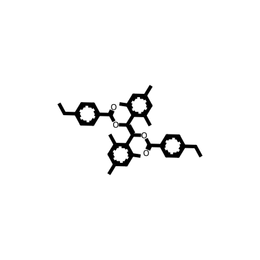 CCc1ccc(C(=O)O/C(=C(/OC(=O)c2ccc(CC)cc2)c2c(C)cc(C)cc2C)c2c(C)cc(C)cc2C)cc1